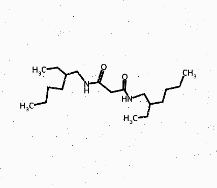 CCCCC(CC)CNC(=O)CC(=O)NCC(CC)CCCC